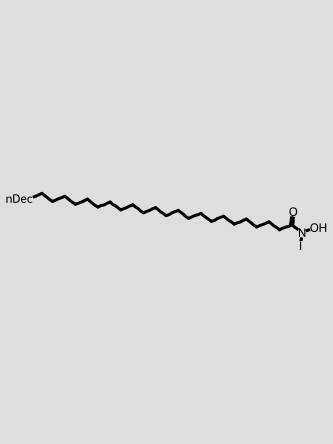 CCCCCCCCCCCCCCCCCCCCCCCCCCCCCCCCC(=O)N(O)I